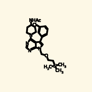 CC(=O)NC1CCN(c2ncnc3c2c(-c2cccc(Cl)c2)cn3COCC[Si](C)(C)C)CC1